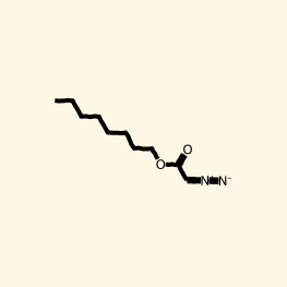 CCCCCCCCOC(=O)C=[N+]=[N-]